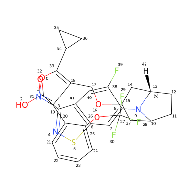 O=C(O)c1nsc2cc(N3C4CC[C@H]3CC(OCc3c(-c5ccccc5OC(F)(F)F)noc3C3CC3)C4)c(F)cc12